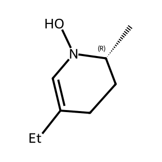 CCC1=CN(O)[C@H](C)CC1